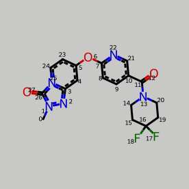 Cn1nc2cc(Oc3ccc(C(=O)N4CCC(F)(F)CC4)cn3)ccn2c1=O